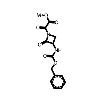 COC(=O)C(=O)N1CC(NC(=O)OCc2ccccc2)C1=O